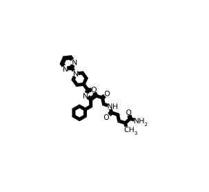 CC(C[CH]C(=O)NCC(=O)c1oc(C2CCN(c3ncccn3)CC2)nc1CC1CCCCC1)C(N)=O